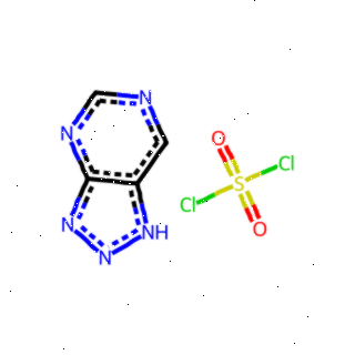 O=S(=O)(Cl)Cl.c1ncc2[nH]nnc2n1